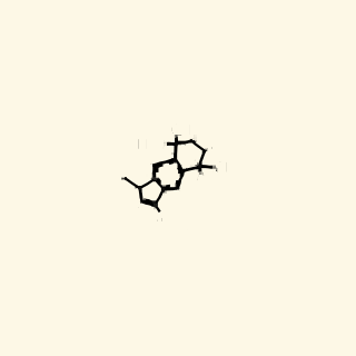 [Li][CH]1C=C(C)c2cc3c(cc21)C(C)(C)CCC3(C)C